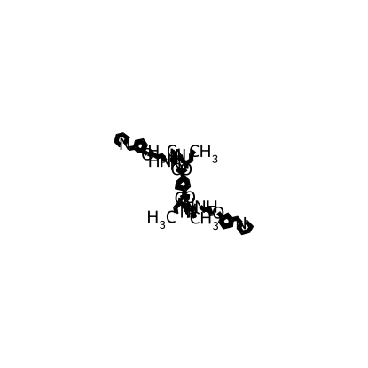 CCCC(OC(=O)c1ccc(C(=O)OC(CCC)c2nc(NCCCOc3cccc(CN4CCCCC4)c3)n(C)n2)cc1)c1nc(NCCCOc2cccc(CN3CCCCC3)c2)n(C)n1